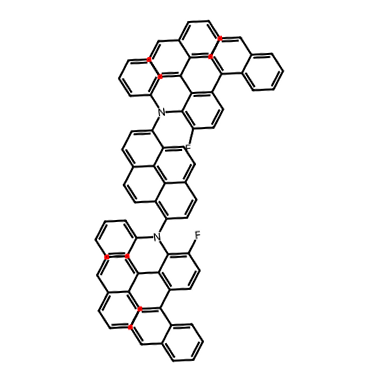 Fc1ccc(-c2cccc3ccccc23)c(-c2cccc3ccccc23)c1N(c1ccccc1)c1ccc2ccc3c(N(c4ccccc4)c4c(F)ccc(-c5cccc6ccccc56)c4-c4cccc5ccccc45)ccc4ccc1c2c43